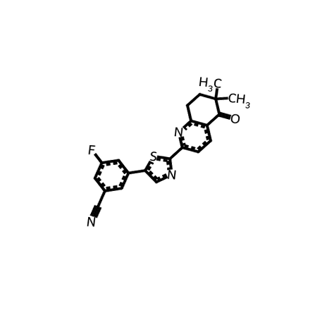 CC1(C)CCc2nc(-c3ncc(-c4cc(F)cc(C#N)c4)s3)ccc2C1=O